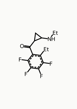 [CH2]CNC1CC1C(=O)c1c(F)c(F)c(F)c(F)c1CC